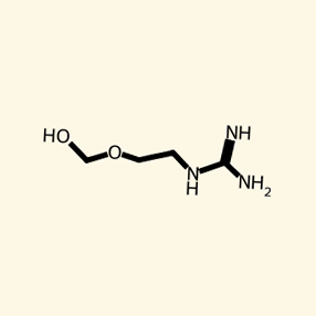 N=C(N)NCCOCO